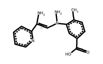 Cc1ccc(C(=O)O)cc1N(N)/C=C(\N)c1ccccn1